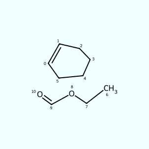 C1=CCCCC1.CCOC=O